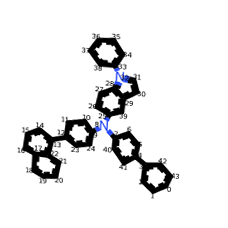 c1ccc(-c2ccc(N(c3ccc(-c4cccc5ccccc45)cc3)c3ccc4c(ccn4-c4ccccc4)c3)cc2)cc1